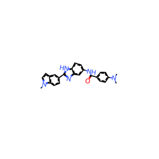 CN(C)c1ccc(C(=O)Nc2ccc3[nH]c(-c4ccc5c(ccn5C)c4)nc3c2)cc1